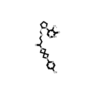 N#Cc1ccc(N2CC3(CN(C(=O)CCOC[C@@H]4CCCN4c4cn[nH]c(=O)c4C(F)(F)F)C3)C2)nc1